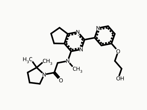 CN(CC(=O)N1CCCC1(C)C)c1nc(-c2cc(OCCO)ccn2)nc2c1CCC2